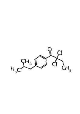 CCC(Cl)(Cl)C(=O)c1ccc(CC(C)C)cc1